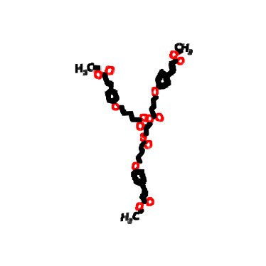 CCOC(=O)/C=C/c1ccc(OCCCCC(=O)OCC(COC(=O)CCCCOc2ccc(/C=C/C(=O)OCC)cc2)OC(=O)CCCCOc2ccc(/C=C/C(=O)OCC)cc2)cc1